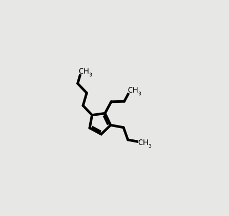 CCCCC1C=[C]C(CCC)=C1CCC